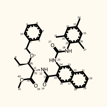 CC[C@@H](OCc1ccccc1)[C@H](NC(=O)c1cc2ccccc2cc1NC(=O)Nc1c(C)cc(C)cc1C)C(=O)OC